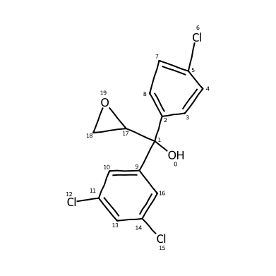 OC(c1ccc(Cl)cc1)(c1cc(Cl)cc(Cl)c1)C1CO1